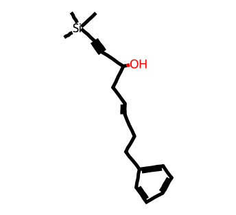 C[Si](C)(C)C#CC(O)CC=CCCc1ccccc1